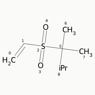 C=CS(=O)(=O)C(C)(C)C(C)C